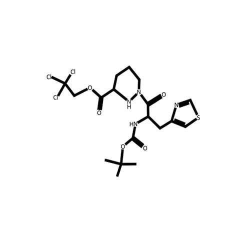 CC(C)(C)OC(=O)NC(Cc1cscn1)C(=O)N1CCCC(C(=O)OCC(Cl)(Cl)Cl)N1